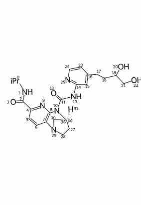 CC(C)NC(=O)c1ccc2c(n1)N(C(=O)Nc1cc(CCC(O)CO)ccn1)[C@H]1CCN2C1